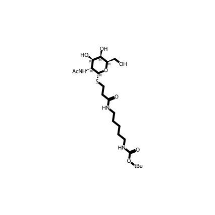 CC(=O)N[C@@H]1[C@@H](O)[C@@H](O)[C@@H](CO)O[C@@H]1SCCC(=O)NCCCCCNC(=O)OC(C)(C)C